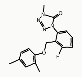 Cc1ccc(OCc2c(F)cccc2-n2nnn(C)c2=O)c(C)c1